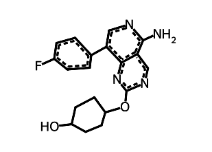 Nc1ncc(-c2ccc(F)cc2)c2nc(OC3CCC(O)CC3)ncc12